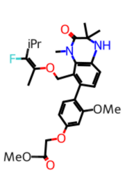 COC(=O)COc1ccc(-c2ccc3c(c2CO/C(C)=C(/F)C(C)C)N(C)C(=O)C(C)(C)N3)c(OC)c1